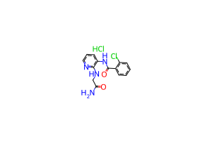 Cl.NC(=O)CNc1ncccc1NC(=O)c1ccccc1Cl